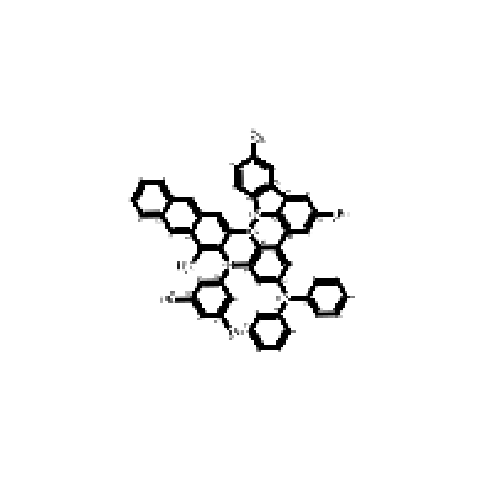 Cc1c2c(cc3cc4ccccc4cc13)B1c3c(cc(N(c4ccccc4)c4ccccc4)cc3N2c2cc(C(C)(C)C)cc(C(C)(C)C)c2)-c2cc(C(C)(C)C)cc3c4cc(C(C)(C)C)ccc4n1c23